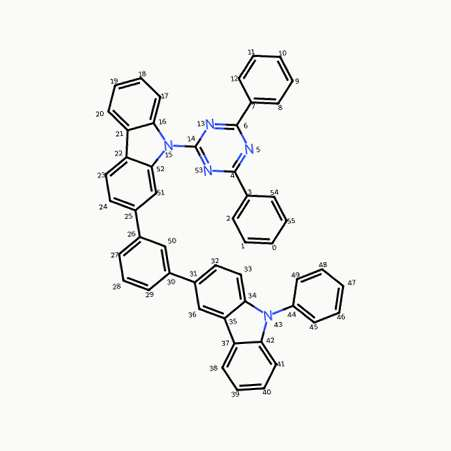 c1ccc(-c2nc(-c3ccccc3)nc(-n3c4ccccc4c4ccc(-c5cccc(-c6ccc7c(c6)c6ccccc6n7-c6ccccc6)c5)cc43)n2)cc1